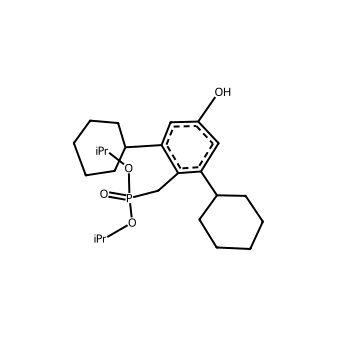 CC(C)OP(=O)(Cc1c(C2CCCCC2)cc(O)cc1C1CCCCC1)OC(C)C